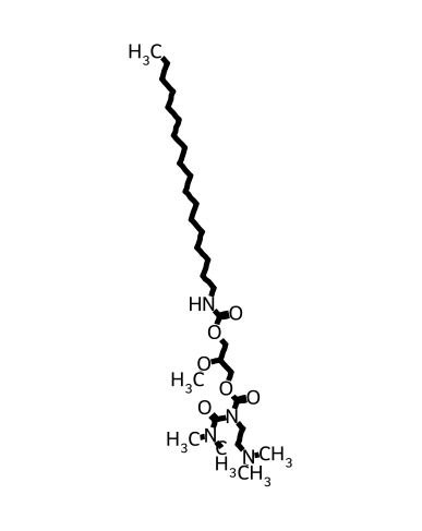 CCCCCCCCCCCCCCCCCCNC(=O)OCC(COC(=O)N(CCN(C)C)C(=O)N(C)C)OC